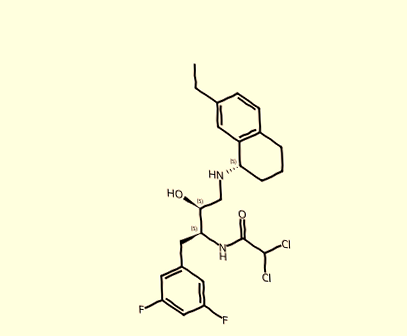 CCc1ccc2c(c1)[C@@H](NC[C@H](O)[C@H](Cc1cc(F)cc(F)c1)NC(=O)C(Cl)Cl)CCC2